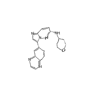 c1cnc2cc(-c3cnc4ccc(NC5CCOCC5)nn34)ccc2n1